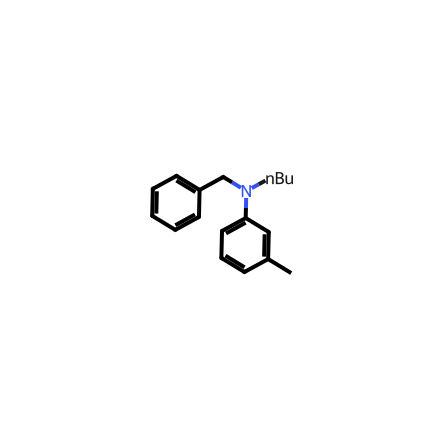 CCCCN(Cc1ccccc1)c1cccc(C)c1